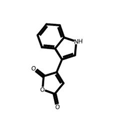 O=C1C=C(c2c[nH]c3ccccc23)C(=O)O1